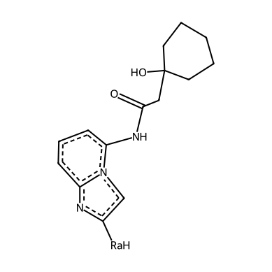 O=C(CC1(O)CCCCC1)Nc1cccc2n[c]([RaH])cn12